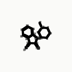 CN1CCCCC1.O=C1Nc2ccccc2C1=O